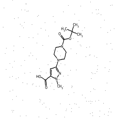 Cn1nc(N2CCN(C(=O)OC(C)(C)C)CC2)cc1C(=O)O